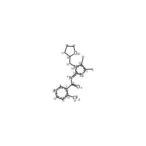 Cc1s/c(=N\C(=O)c2cnccc2C(F)(F)F)n(CC2CCCO2)c1C